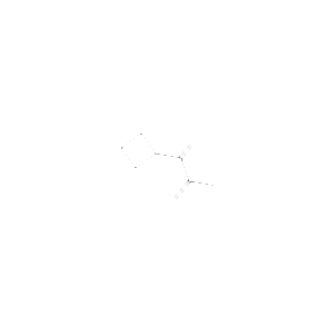 C=C(C)C(=O)C1CCC1